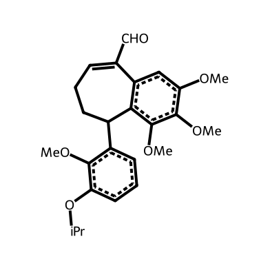 COc1cc2c(c(OC)c1OC)C(c1cccc(OC(C)C)c1OC)CCC=C2C=O